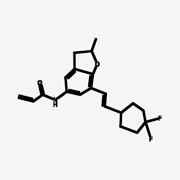 C=CC(=O)Nc1cc(C=CC2CCC(F)(F)CC2)c2c(c1)CC(C)O2